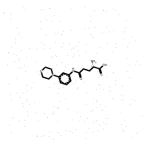 N[C@@H](CCC(=O)Nc1cccc(N2CCOCC2)c1)C(=O)O